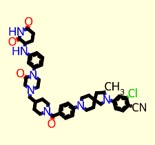 C[C@H]1CC2(CCN(c3ccc(C(=O)N4CCC(CN5CCN(c6cccc(NC7CCC(=O)NC7=O)c6)C(=O)C5)CC4)cc3)CC2)CN1c1ccc(C#N)c(Cl)c1